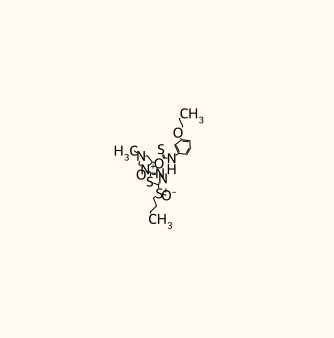 CCCC[S+]([O-])c1nnc([N+]2([O-])CN(C)CC2OC(=S)Nc2cccc(OCCC)c2)s1